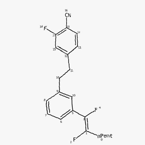 CCCCC/C(F)=C(\F)c1cccc(CCc2ccc(C#N)c(F)c2)c1